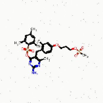 Cc1cc(C)c(S(=O)(=O)Oc2nc(N)nc(C)c2Cc2ccc(OCCCOS(C)(=O)=O)cc2C)c(C)c1